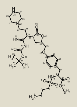 CCCCS(=O)(=O)NC(Cc1ccc(OCC2CN(C(CCN3CCNCC3)C(=N)NC(=O)OC(C)(C)C)C(=O)O2)cc1)C(=O)OC